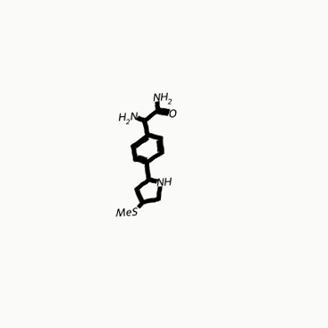 CSC1CNC(c2ccc(C(N)C(N)=O)cc2)C1